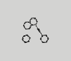 C(#Cc1cccc2ccccc12)c1ccccc1.c1ccccc1